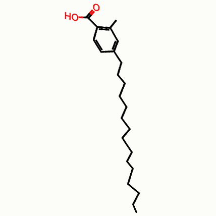 CCCCCCCCCCCCCCCc1ccc(C(=O)O)c(C)c1